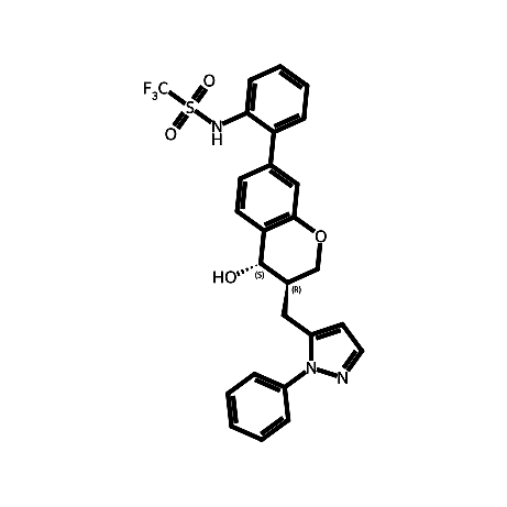 O=S(=O)(Nc1ccccc1-c1ccc2c(c1)OC[C@@H](Cc1ccnn1-c1ccccc1)[C@@H]2O)C(F)(F)F